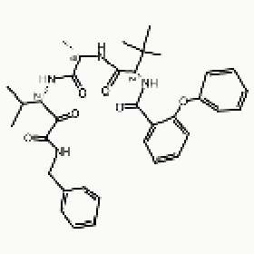 CC(C)[C@H](NC(=O)[C@H](C)NC(=O)[C@@H](NC(=O)c1ccccc1Oc1ccccc1)C(C)(C)C)C(=O)C(=O)NCc1ccccc1